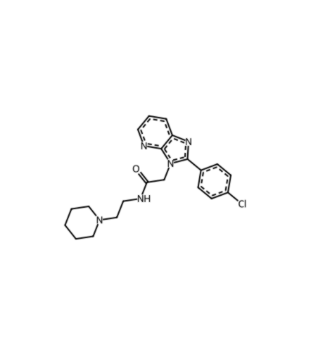 O=C(Cn1c(-c2ccc(Cl)cc2)nc2cccnc21)NCCN1CCCCC1